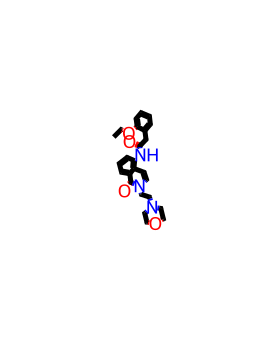 CCOc1ccccc1CC(=O)Nc1cccc2c(=O)n(CCN3CCOCC3)ccc12